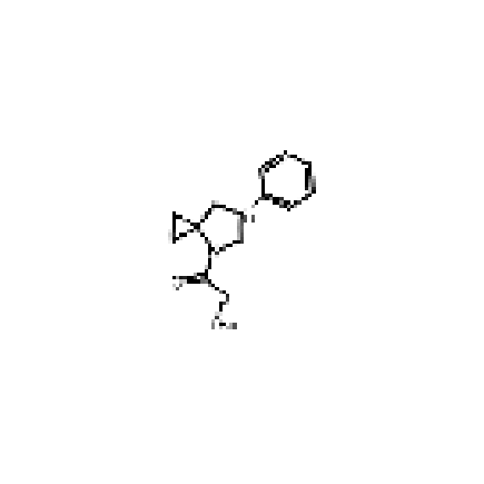 CC(C)(C)OC(=O)N1C[C@@H](c2ccccc2)CC12CC2